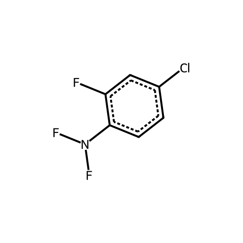 Fc1cc(Cl)ccc1N(F)F